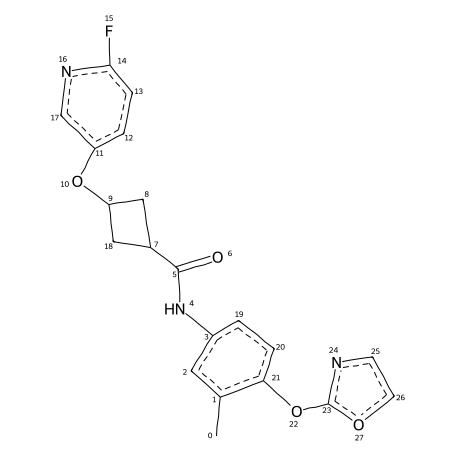 Cc1cc(NC(=O)C2CC(Oc3ccc(F)nc3)C2)ccc1Oc1ncco1